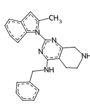 Cc1cc2ccccc2n1-c1nc2c(c(NCc3ccccc3)n1)CCNC2